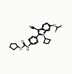 N#Cc1c(-c2ccc(NC(=O)OC3CCCC3)cc2)n(C2CCC2)c2cc(OC(F)F)ccc12